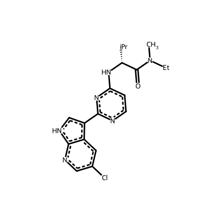 CCN(C)C(=O)[C@H](Nc1ccnc(-c2c[nH]c3ncc(Cl)cc23)n1)C(C)C